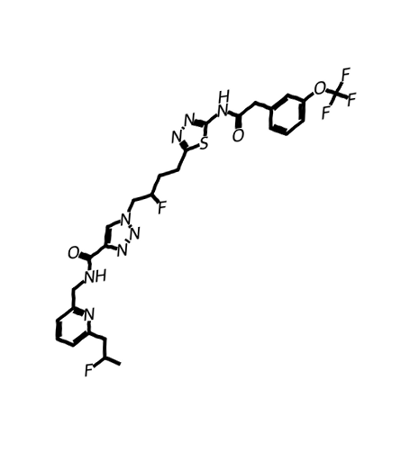 CC(F)Cc1cccc(CNC(=O)c2cn(CC(F)CCc3nnc(NC(=O)Cc4cccc(OC(F)(F)F)c4)s3)nn2)n1